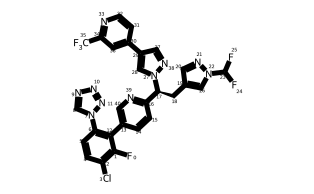 Fc1c(Cl)ccc(-n2cnnn2)c1-c1ccc([C@H](Cc2cnn(C(F)F)c2)n2cc(-c3ccnc(C(F)(F)F)c3)cn2)nc1